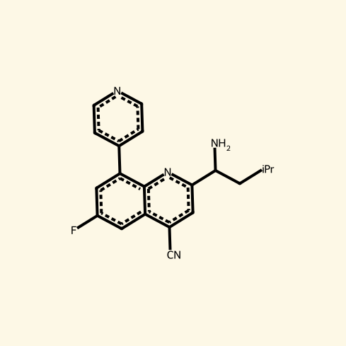 CC(C)CC(N)c1cc(C#N)c2cc(F)cc(-c3ccncc3)c2n1